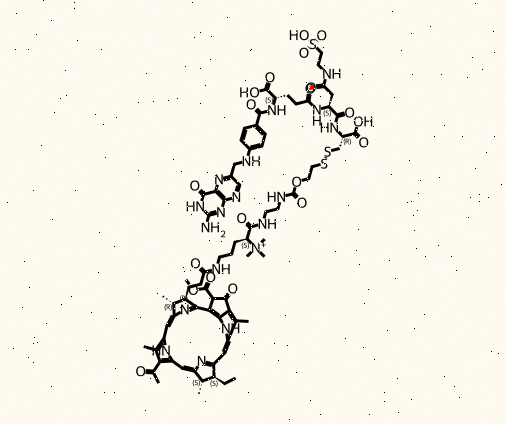 CC[C@@H]1c2cc3[nH]c4c(c3C)C(=O)C(C(=O)OC)c4c3nc(cc4[nH]c(cc(n2)[C@H]1C)c(C(C)=O)c4C)[C@H](C)[C@H]3CCC(=O)NCCC[C@@H](C(=O)NCCNC(=O)OCCSSC[C@H](NC(=O)[C@H](CC(=O)NCCS(=O)(=O)O)NC(=O)CC[C@H](NC(=O)c1ccc(NCc2cnc3nc(N)[nH]c(=O)c3n2)cc1)C(=O)O)C(=O)O)[N+](C)(C)C